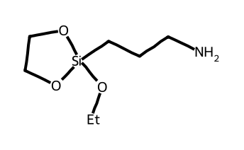 CCO[Si]1(CCCN)OCCO1